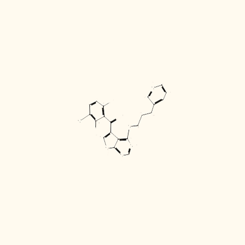 Nc1ccc(F)c(C(=O)c2c[nH]c3ncnc(NCCCc4cccnc4)c23)c1F